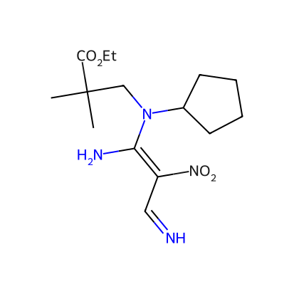 CCOC(=O)C(C)(C)CN(/C(N)=C(/C=N)[N+](=O)[O-])C1CCCC1